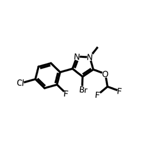 Cn1nc(-c2ccc(Cl)cc2F)c(Br)c1OC(F)F